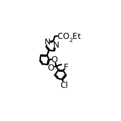 CCOC(=O)Cc1ncc(-c2cccc3c2OC(C)(c2ccc(Cl)cc2F)O3)cn1